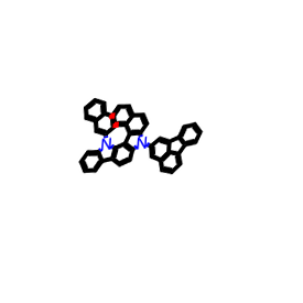 c1ccc2c(c1)-c1cccc3cc(-n4c5ccc6ccccc6c5c5c4ccc4c6ccccc6n(-c6ccc7ccccc7c6)c45)cc-2c13